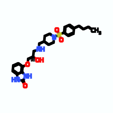 CCCCc1ccc(S(=O)(=O)N2CCC(CNC[C@@H](O)COc3cccc4[nH]c(=O)[nH]c34)CC2)cc1